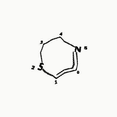 C1=CSCCN=1